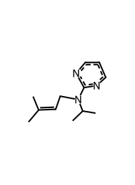 CC(C)=CCN(c1ncccn1)C(C)C